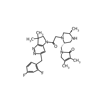 CC1=C(C)C(=O)N(C[C@H]2CN[C@H](C)CN2CC(=O)N2CC(C)(C)c3nnc(Cc4ccc(F)cc4F)cc32)C1